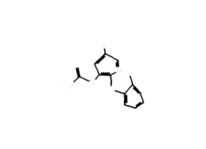 NC(=S)Nc1cc(Br)cnc1Oc1ccccc1I